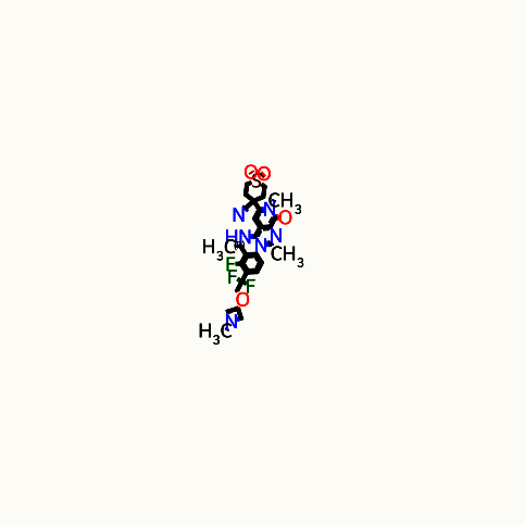 Cc1nc(N[C@H](C)c2cccc(C(F)(F)COC3CN(C)C3)c2F)c2cc(C3(C#N)CCS(=O)(=O)CC3)n(C)c(=O)c2n1